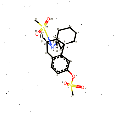 CS(=O)(=O)Oc1ccc2c(c1)[C@@]13CCCC[C@H]1[C@@H](C2)N(S(C)(=O)=O)CC3